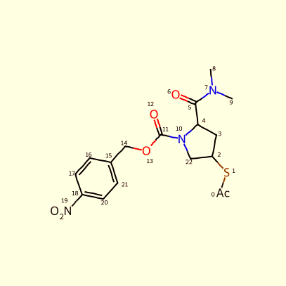 CC(=O)SC1CC(C(=O)N(C)C)N(C(=O)OCc2ccc([N+](=O)[O-])cc2)C1